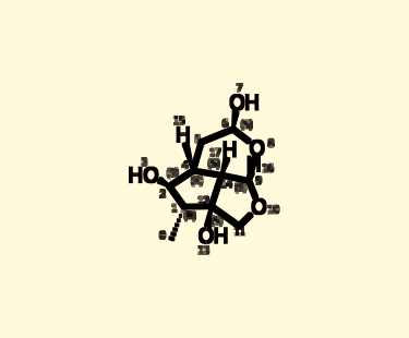 C[C@@H]1[C@@H](O)[C@@H]2C[C@@H](O)O[C@@H]3OC[C@@]1(O)[C@@H]32